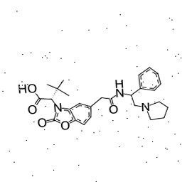 CC(C)(C)[C@@H](C(=O)O)n1c(=O)oc2ccc(CC(=O)NC(CN3CCCC3)c3ccccc3)cc21